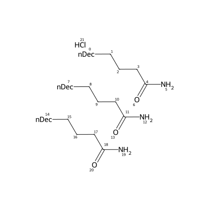 CCCCCCCCCCCCCC(N)=O.CCCCCCCCCCCCCC(N)=O.CCCCCCCCCCCCCC(N)=O.Cl